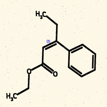 CCOC(=O)/C=C(/CC)c1ccccc1